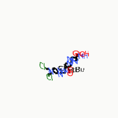 Cn1c(CN(CC2CCN(c3ncc(C(=O)NO)cn3)CC2)C(=O)OC(C)(C)C)nc2cc(N(CCCl)CCCl)ccc21